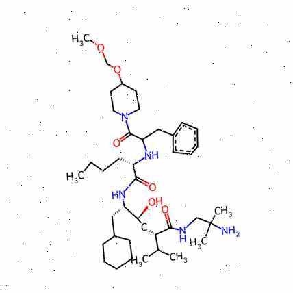 CCCC[C@H](NC(Cc1ccccc1)C(=O)N1CCC(OCOC)CC1)C(=O)N[C@@H](CC1CCCCC1)[C@@H](O)C[C@H](C(=O)NCC(C)(C)N)C(C)C